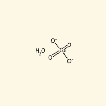 O.[O]=[Os](=[O])([O-])[O-]